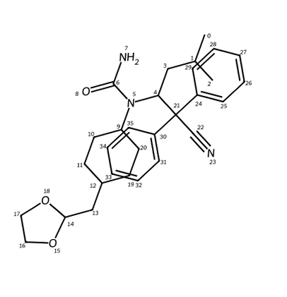 CC(C)CC(N(C(N)=O)C1CCC(CC2OCCO2)CC1)C(C#N)(c1ccccc1)c1ccccc1